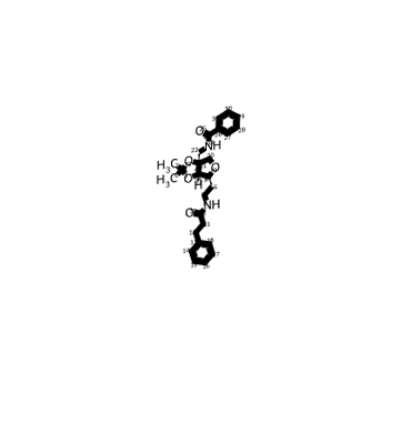 CC1(C)O[C@@H]2[C@@H](CCNC(=O)CCc3ccccc3)OC[C@]2(CNC(=O)c2ccccc2)O1